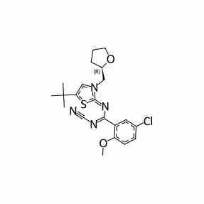 COc1ccc(Cl)cc1C(=NC#N)N=c1sc(C(C)(C)C)cn1C[C@H]1CCCO1